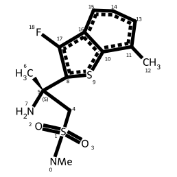 CNS(=O)(=O)C[C@](C)(N)c1sc2c(C)cccc2c1F